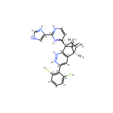 CC1(C)[C@H]2CC[C@@]1(c1ccnc(-c3c[nH]cn3)n1)c1nnc(-c3c(F)cccc3F)cc12